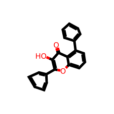 O=c1c(O)c(-c2ccccc2)oc2cccc(-c3ccccc3)c12